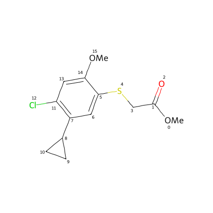 COC(=O)CSc1cc(C2CC2)c(Cl)cc1OC